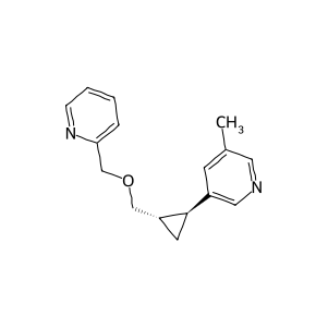 Cc1cncc([C@H]2C[C@@H]2COCc2ccccn2)c1